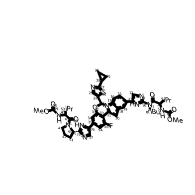 CCCCN(C(=O)C(NC(=O)OC)C(C)C)c1ncc(-c2ccc3c(c2)cc2n3C(c3cnc(C4CC4)s3)Oc3cc(-c4cnc([C@@H]5CCCN5C(=O)C(NC(=O)OC)C(C)C)[nH]4)cc(F)c3-2)[nH]1